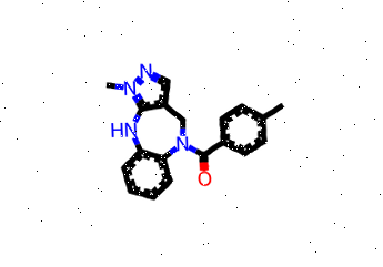 Cc1ccc(C(=O)N2Cc3cnn(C)c3Nc3ccccc32)cc1